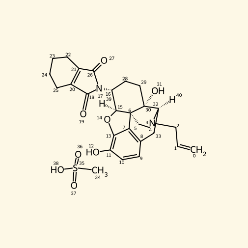 C=CCN1CC[C@]23c4c5ccc(O)c4O[C@H]2[C@H](N2C(=O)C4=C(CCCC4)C2=O)CC[C@@]3(O)[C@H]1C5.CS(=O)(=O)O